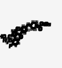 Cc1c(F)ccc(F)c1-c1c(C(=O)O)cn(C)c1C(=O)c1ccc(CC2CCN(C(=O)OC(C)(C)C)CC2)cc1